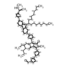 C=C(NC)c1ccc(-c2ccc3c4ccc(-c5ccc(C6=C7C(=O)N(C)C(c8ccc(-c9ccc(C=O)s9)s8)=C7C(=O)N6CC(CC)CCCC)s5)cc4n(C(CCCCCCCC)CCCCCCCC)c3c2)s1